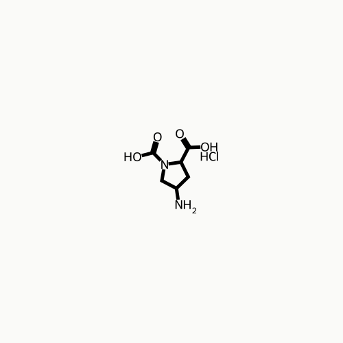 Cl.NC1CC(C(=O)O)N(C(=O)O)C1